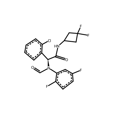 O=CN(c1cc(F)ccc1F)[C@H](C(=O)NC1CC(F)(F)C1)c1ccccc1Cl